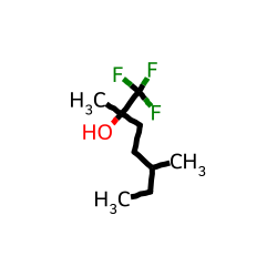 CCC(C)CCC(C)(O)C(F)(F)F